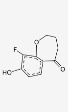 O=C1CCCOc2c1ccc(O)c2F